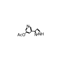 CC(=O)Oc1cncc(-c2cc[nH]n2)c1